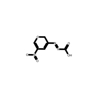 O=C(O)N=NC1=CC([N+](=O)[O-])=COC1